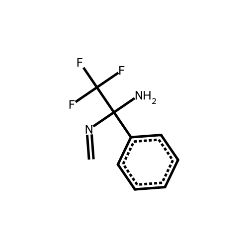 C=NC(N)(c1ccccc1)C(F)(F)F